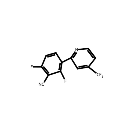 N#Cc1c(F)ccc(-c2cc(C(F)(F)F)ccn2)c1F